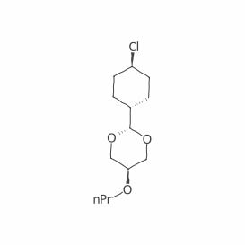 CCCO[C@H]1CO[C@H]([C@H]2CC[C@H](Cl)CC2)OC1